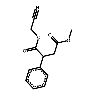 COC(=O)CC(C(=O)OCC#N)c1ccccc1